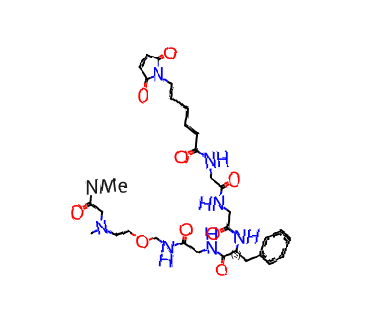 CNC(=O)CN(C)CCOCNC(=O)CNC(=O)[C@H](Cc1ccccc1)NC(=O)CNC(=O)CNC(=O)CCCCCN1C(=O)C=CC1=O